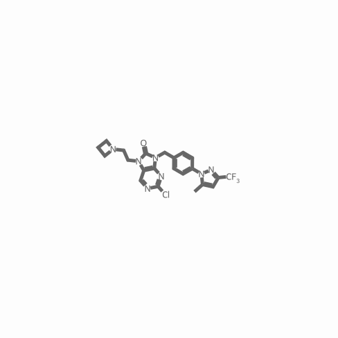 Cc1cc(C(F)(F)F)nn1-c1ccc(Cn2c(=O)n(CCN3CCC3)c3cnc(Cl)nc32)cc1